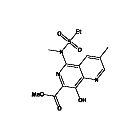 CCS(=O)(=O)N(C)c1nc(C(=O)OC)c(O)c2ncc(C)cc12